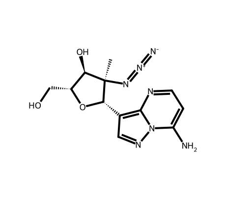 C[C@@]1(N=[N+]=[N-])[C@H](O)[C@@H](CO)O[C@H]1c1cnn2c(N)ccnc12